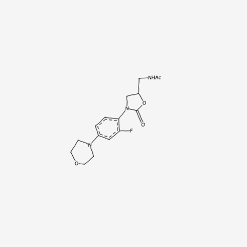 CC(=O)NCC1CN(c2ccc(N3CCOCC3)cc2F)C(=O)O1